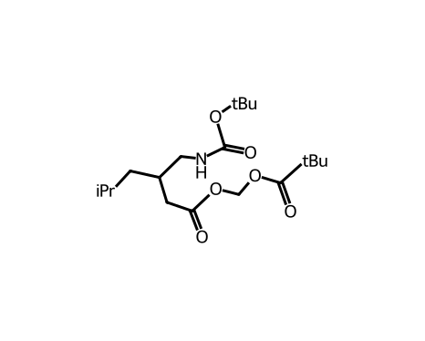 CC(C)CC(CNC(=O)OC(C)(C)C)CC(=O)OCOC(=O)C(C)(C)C